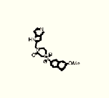 COc1ccc2ccc(S(=O)(=O)N3CCN(Cc4cc5cnccc5[nH]4)C(=O)C3)cc2c1